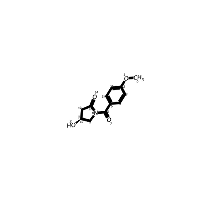 COc1ccc(C(=O)N2C[C@@H](O)CC2=O)cc1